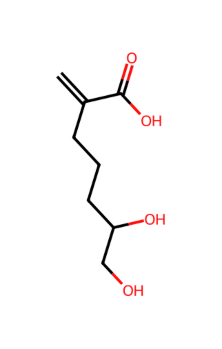 C=C(CCCC(O)CO)C(=O)O